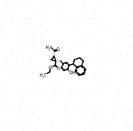 CCOC(=O)[C@@]1(Cc2ccc(O)c(C3CCCc4ccccc43)c2)C[C@@H]1C(N)=O